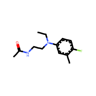 CCN(CCNC(C)=O)c1ccc(F)c(C)c1